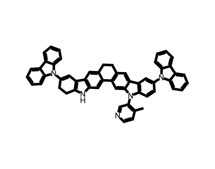 Cc1ccncc1-n1c2ccc(-n3c4ccccc4c4ccccc43)cc2c2cc3c(cc21)-c1cc2[nH]c4c(c2cc1CC3)C=C(n1c2ccccc2c2ccccc21)CC4